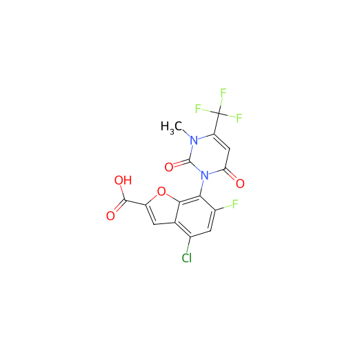 Cn1c(C(F)(F)F)cc(=O)n(-c2c(F)cc(Cl)c3cc(C(=O)O)oc23)c1=O